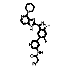 CC(C)CC(=O)Nc1cncc(-c2cc3c(-c4nc5c(N6CCCCC6)nccc5[nH]4)n[nH]c3cc2F)c1